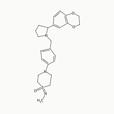 CN=S1(=O)CCN(c2ccc(CN3CCCC3c3ccc4c(c3)OCCO4)cc2)CC1